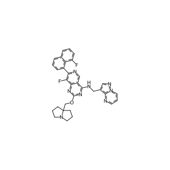 Fc1c(-c2cccc3cccc(F)c23)ncc2c(NCc3cnn4cccnc34)nc(OCC34CCCN3CCC4)nc12